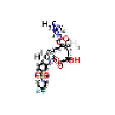 C/C(=C\c1cccc(S(=O)(=O)N2CCC(F)(F)CC2)c1)[C@H]1OC(=O)C[C@H](O)CC[C@H](C)[C@@H](OC(=O)N2CCN(C)CC2)/C=C/[C@@H]1C